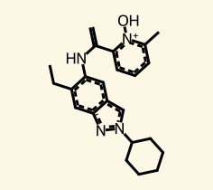 C=C(Nc1cc2cn(C3CCCCC3)nc2cc1CC)c1cccc(C)[n+]1O